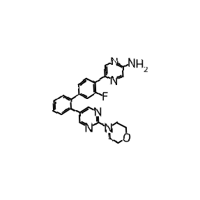 Nc1cnc(-c2ccc(-c3ccccc3-c3cnc(N4CCOCC4)nc3)cc2F)cn1